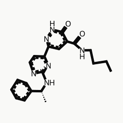 CCCCNC(=O)c1cc(-c2ccnc(N[C@H](C)c3ccccc3)n2)n[nH]c1=O